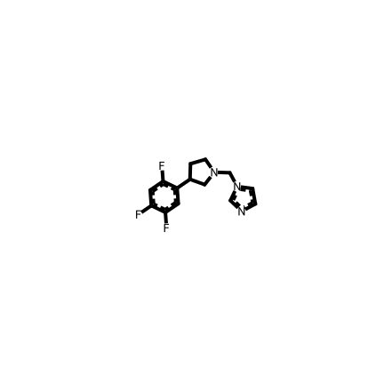 Fc1cc(F)c(C2CCN(Cn3ccnc3)C2)cc1F